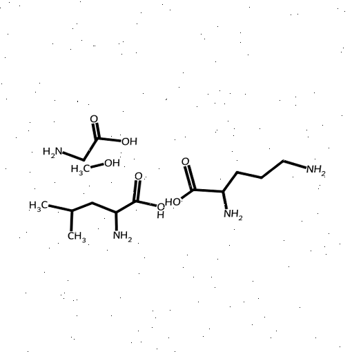 CC(C)CC(N)C(=O)O.CO.NCC(=O)O.NCCCC(N)C(=O)O